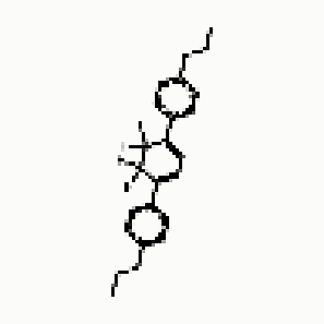 CCCc1ccc(C2=CC=C(c3ccc(CCC)cc3)C(F)(F)C2(F)F)cc1